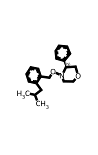 CC(C)Cc1ccccc1CON1CCOC[C@@H]1c1ccccc1